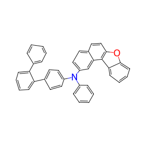 c1ccc(-c2ccccc2-c2ccc(N(c3ccccc3)c3ccc4ccc5oc6ccccc6c5c4c3)cc2)cc1